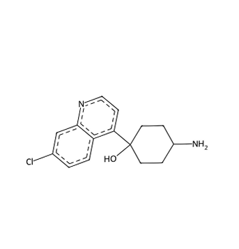 NC1CCC(O)(c2ccnc3cc(Cl)ccc23)CC1